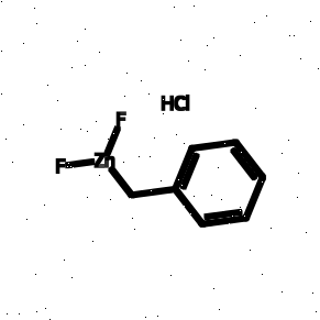 Cl.[F][Zn]([F])[CH2]c1ccccc1